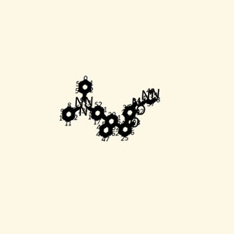 c1ccc(-c2nc(-c3ccccc3)nc(-c3ccc(-c4ccc(-c5cccc6oc7c(ccc8nc(-c9ccncn9)oc87)c56)c5ccccc45)cc3)n2)cc1